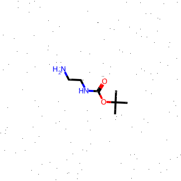 CC(C)(C)OC(=O)N[CH]CN